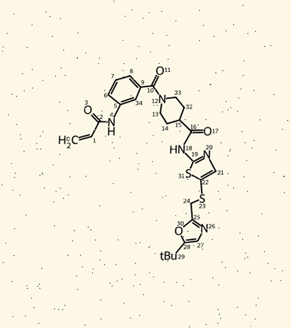 C=CC(=O)Nc1cccc(C(=O)N2CCC(C(=O)Nc3ncc(SCc4ncc(C(C)(C)C)o4)s3)CC2)c1